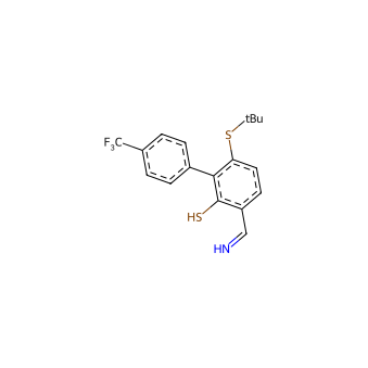 CC(C)(C)Sc1ccc(C=N)c(S)c1-c1ccc(C(F)(F)F)cc1